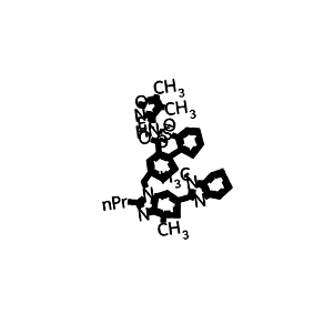 CCCc1nc2c(C)cc(-c3nc4ccccc4n3C)cc2n1Cc1ccc(-c2ccccc2S(=O)(=O)Nc2noc(C)c2C)c(COCC)c1